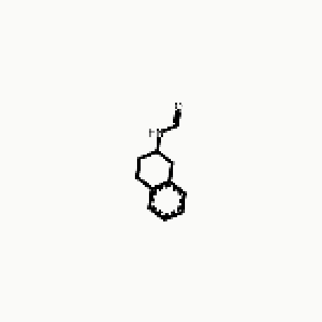 O=CNC1CCc2ccccc2C1